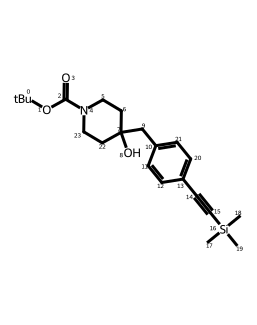 CC(C)(C)OC(=O)N1CCC(O)(Cc2ccc(C#C[Si](C)(C)C)cc2)CC1